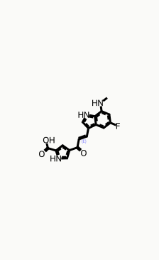 CNc1cc(F)cc2c(/C=C/C(=O)c3c[nH]c(C(=O)O)c3)c[nH]c12